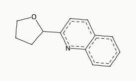 c1ccc2nc(C3CCCO3)ccc2c1